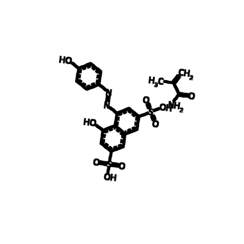 C=C(C)C(N)=O.O=S(=O)(O)c1cc(O)c2c(N=Nc3ccc(O)cc3)cc(S(=O)(=O)O)cc2c1